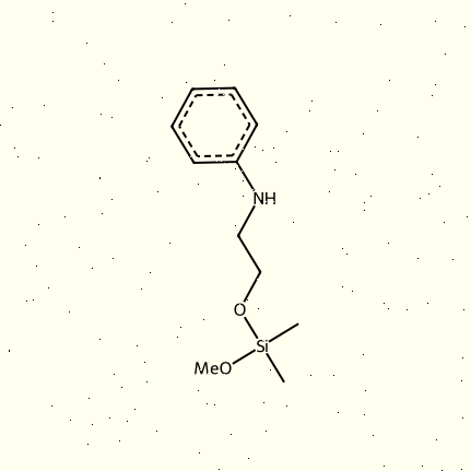 CO[Si](C)(C)OCCNc1ccccc1